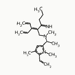 C=CC(C=C)=C(CN(C)C(C)c1cc(C)c(C=C)n1C)C(=N)CCC